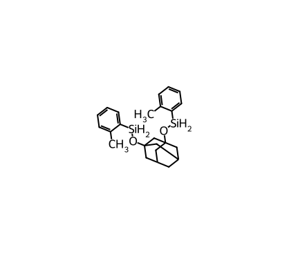 Cc1ccccc1[SiH2]OC12CC3CC(C1)CC(O[SiH2]c1ccccc1C)(C3)C2